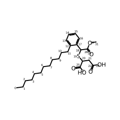 CCCCCCCCCCCCc1ccccc1C(SC(CC(=O)O)C(=O)O)C(=O)OC